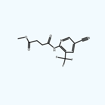 COC(=O)CCC(=O)Nc1ncc(C#N)cc1C(F)(F)F